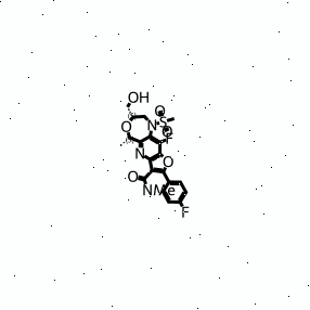 CNC(=O)c1c(-c2ccc(F)cc2)oc2c(F)c3c(nc12)[C@H](C)O[C@H](CO)CN3S(C)(=O)=O